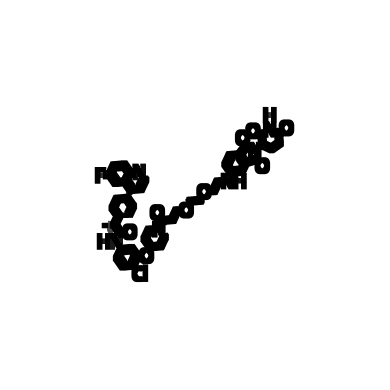 C[C@@H](C(=O)Nc1ccc(Cl)c(OC2CCN(C(=O)CCOCCOCCNc3ccc4c(c3)C(=O)N(C3CCC(=O)NC3=O)C4=O)CC2)c1)[C@H]1CC[C@@H](c2ccnc3ccc(F)cc32)CC1